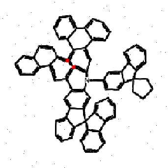 c1ccc2c(c1)-c1cc(N(c3ccc4c5ccccc5c5ccccc5c4c3)c3cc4c(cc3-c3ccc5ccc6ccccc6c5c3)-c3ccccc3C43c4ccccc4-c4ccccc43)ccc1C21CCCC1